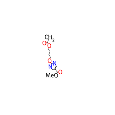 C=CC(=O)OCCCCOc1ncc(C(=O)OC)cn1